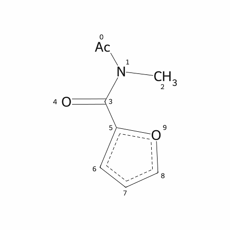 CC(=O)N(C)C(=O)c1ccco1